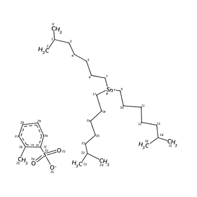 CC(C)CCCC[CH2][Sn+]([CH2]CCCCC(C)C)[CH2]CCCCC(C)C.Cc1ccccc1S(=O)(=O)[O-]